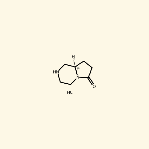 Cl.O=C1CC[C@@H]2CNCCN12